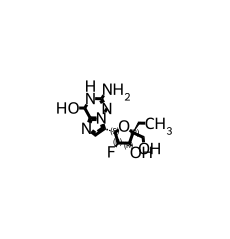 CC[C@]1(CO)O[C@@H](c2cnc3n2N=C(N)NC3O)[C@H](F)[C@@H]1O